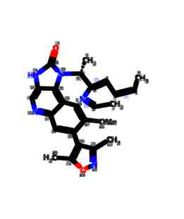 C\C=C/C=C(\N=C/C)[C@@H](C)n1c(=O)[nH]c2cnc3cc(-c4c(C)noc4C)c(OC)cc3c21